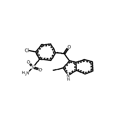 Cc1[nH]c2ccccc2c1C(=O)c1ccc(Cl)c(S(N)(=O)=O)c1